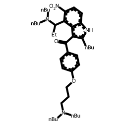 CCCCc1[nH]c2ccc([N+](=O)[O-])c(C(CC)N(CCCC)CCCC)c2c1C(=O)c1ccc(OCCCN(CCCC)CCCC)cc1